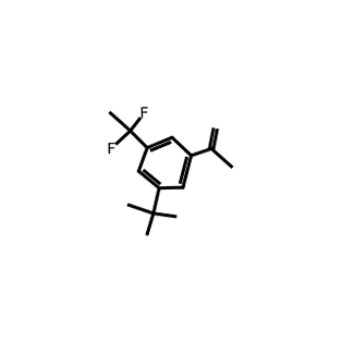 C=C(C)c1cc(C(C)(C)C)cc(C(C)(F)F)c1